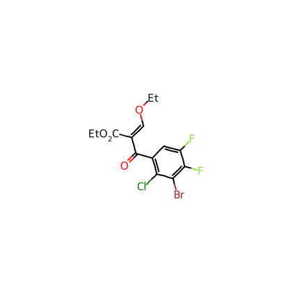 CCOC=C(C(=O)OCC)C(=O)c1cc(F)c(F)c(Br)c1Cl